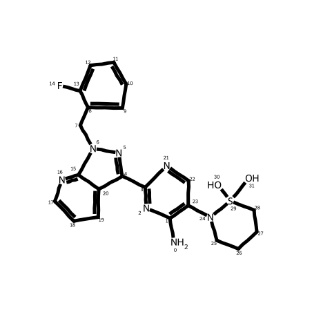 Nc1nc(-c2nn(Cc3ccccc3F)c3ncccc23)ncc1N1CCCCS1(O)O